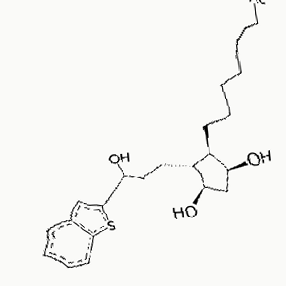 CC(=O)CCCCCC[C@@H]1[C@@H](CCC(O)c2cc3ccccc3s2)[C@H](O)C[C@@H]1O